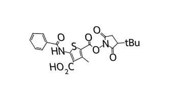 Cc1c(C(=O)ON2C(=O)CC(C(C)(C)C)C2=O)sc(NC(=O)c2ccccc2)c1C(=O)O